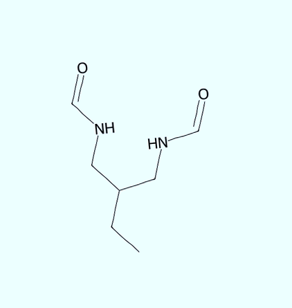 CCC(CNC=O)CNC=O